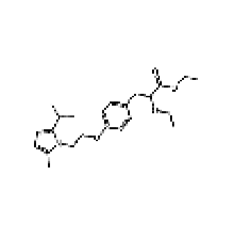 CCOC(=O)C(Cc1ccc(OCCn2c(C)ccc2C(C)C)cc1)OCC